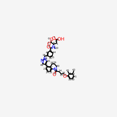 COC(=O)C(CC(=O)O)N(C)C(=O)c1cccc(Cn2cc(-c3cccc4c3CCCN4C(=O)CCCOc3cccc(C)c3C)cn2)c1